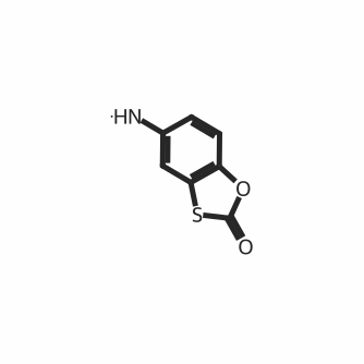 [NH]c1ccc2oc(=O)sc2c1